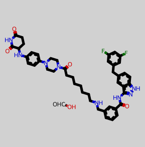 O=C1CCC(Nc2ccc(N3CCN(C(=O)CCCCCCCNCc4cccc(C(=O)Nc5n[nH]c6ccc(Cc7cc(F)cc(F)c7)cc56)c4)CC3)cc2)C(=O)N1.O=CO